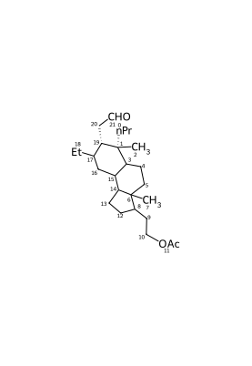 CCC[C@]1(C)C2CCC3(C)C(CCOC(C)=O)CCC3C2CC(CC)[C@@H]1CC=O